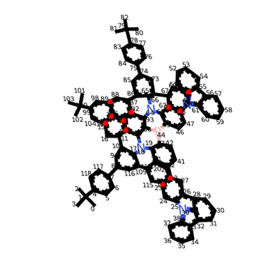 CC(C)(C)c1ccc(-c2cc(-c3ccccc3)c(N3c4cc(-c5ccc6c(c5)c5cccc7c8ccccc8n6c75)ccc4B4c5ccc(-n6c7ccccc7c7ccccc76)cc5N(c5c(-c6ccccc6)cc(-c6ccc(C(C)(C)C)cc6)cc5-c5ccccc5)c5cc(-c6ccc(C(C)(C)C)cc6)cc3c54)c(-c3ccccc3)c2)cc1